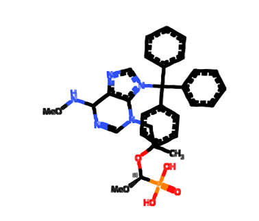 CONC1N=CN(CC(C)O[C@H](OC)P(=O)(O)O)c2c1ncn2C(c1ccccc1)(c1ccccc1)c1ccccc1